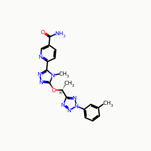 Cc1cccc(-n2nnc([C@@H](C)Oc3nnc(-c4ccc(C(N)=O)cn4)n3C)n2)c1